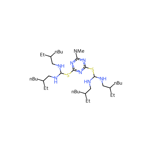 CCCCC(CC)CNC(NCC(CC)CCCC)Sc1nc(NC)nc(SC(NCC(CC)CCCC)NCC(CC)CCCC)n1